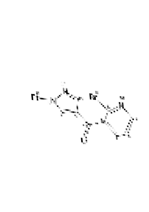 CCn1cc(C(=O)c2cccnc2Br)cn1